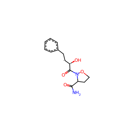 NC(=O)C1CCON1C(=O)[C@H](O)[CH]Cc1ccccc1